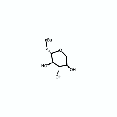 CCCCS[C@@H]1OC[C@@H](O)[C@H](O)[C@H]1O